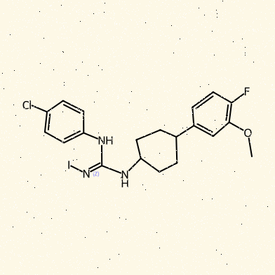 COc1cc(C2CCC(N/C(=N/I)Nc3ccc(Cl)cc3)CC2)ccc1F